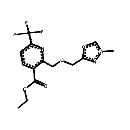 CCOC(=O)c1ccc(C(F)(F)F)nc1COCc1ncn(C)n1